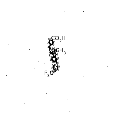 C[C@@H]1CN(Cc2ccc(C(=O)O)cc2)C[C@H](C)N1Cc1cccc(CN2CCN(CC(F)(F)F)CC2)c1